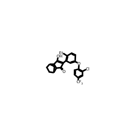 CCc1ccc(Oc2ccc(C(F)(F)F)cc2Cl)cc1C1=C(O)C2C3CCC(CC3)C2C1=O